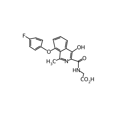 Cc1nc(C(=O)NCC(=O)O)c(O)c2cccc(Oc3ccc(F)cc3)c12